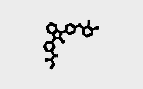 C=CC(=O)Nc1cccc(-n2c(=O)n(-c3ccc(Oc4cccc(Cl)c4F)cc3)c3cnccc32)c1